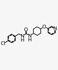 O=C(NCc1ccc(Cl)cc1)NC1CCC(Oc2cccnc2)CC1